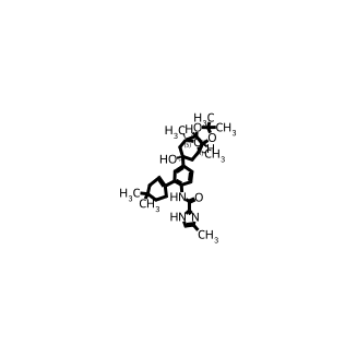 Cc1c[nH]c(C(=O)Nc2ccc([C@@]3(O)C[C@@]4(C)O[C@@](C)(C3)[C@@H]3OC(C)(C)O[C@@H]34)cc2C2=CCC(C)(C)CC2)n1